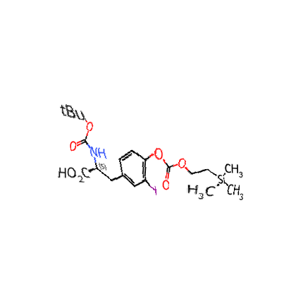 CC(C)(C)OC(=O)N[C@@H](Cc1ccc(OC(=O)OCC[Si](C)(C)C)c(I)c1)C(=O)O